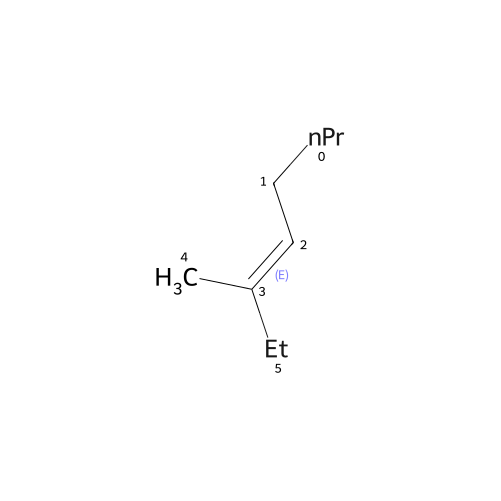 CCCC/C=C(\C)CC